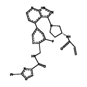 C=CC(=O)N[C@@H]1CCN(c2n[nH]c3nccc(-c4ccc(CNC(=O)c5coc(C(C)C)n5)c(F)c4)c23)C1